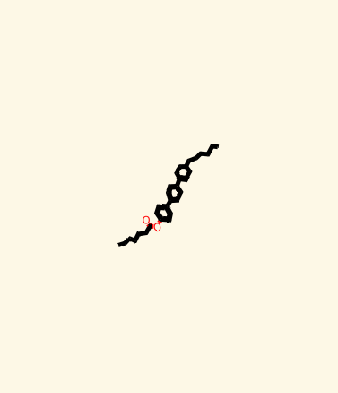 CCCCCCC(=O)Oc1ccc(-c2ccc(C3=CCC(CCCCCC)CC3)cc2)cc1